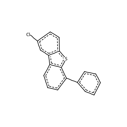 Clc1ccc2sc3c(-c4ccccc4)cccc3c2c1